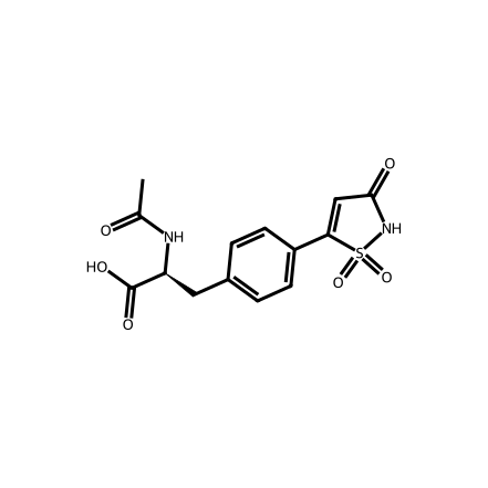 CC(=O)N[C@@H](Cc1ccc(C2=CC(=O)NS2(=O)=O)cc1)C(=O)O